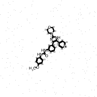 COc1ccc(NC(=O)Nc2cccc(-c3nc(N4CCOCC4)[nH]c3-c3ccncc3)c2)cc1